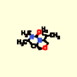 CC(C)C1COCCN1C(=O)N(C)C(C)C